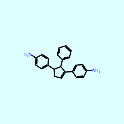 Nc1ccc(C2=CCC(c3ccc(N)cc3)C2c2ccccc2)cc1